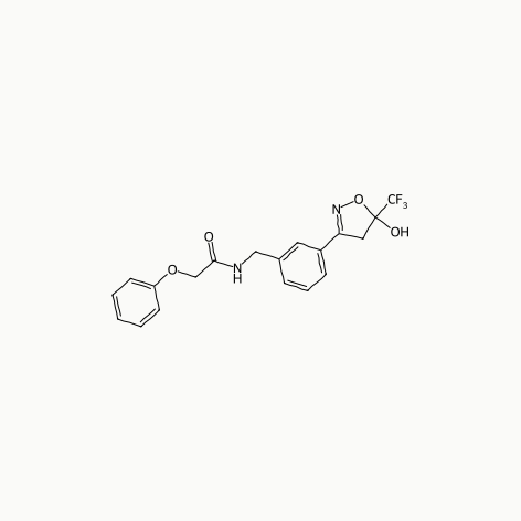 O=C(COc1ccccc1)NCc1cccc(C2=NOC(O)(C(F)(F)F)C2)c1